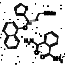 CNCC[C@H](Oc1cccc2ccccc12)c1cccs1.NC(=O)c1ccccc1C(N)=O